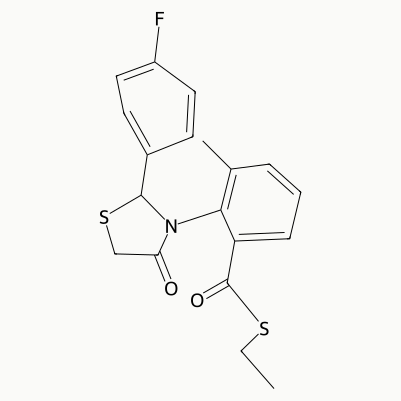 CCSC(=O)c1cccc(C)c1N1C(=O)CSC1c1ccc(F)cc1